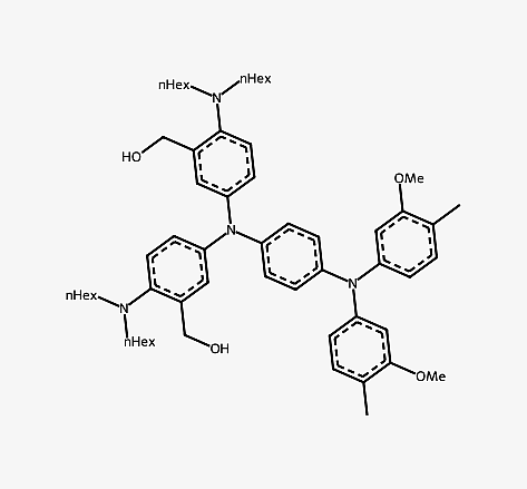 CCCCCCN(CCCCCC)c1ccc(N(c2ccc(N(c3ccc(C)c(OC)c3)c3ccc(C)c(OC)c3)cc2)c2ccc(N(CCCCCC)CCCCCC)c(CO)c2)cc1CO